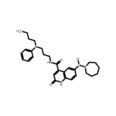 CCCCN(CCCNC(=O)c1cc(=O)[nH]c2ccc([S+]([O-])N3CCCCCC3)cc12)c1ccccc1